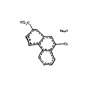 N#Cc1cc2cc(C(=O)O)ccc2c2cnccc12.[NaH]